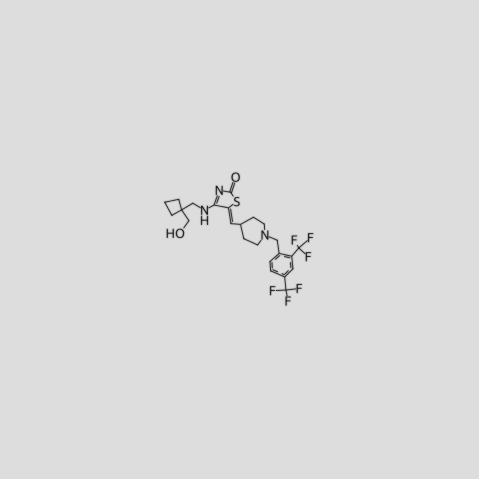 O=C1N=C(NCC2(CO)CCC2)C(=CC2CCN(Cc3ccc(C(F)(F)F)cc3C(F)(F)F)CC2)S1